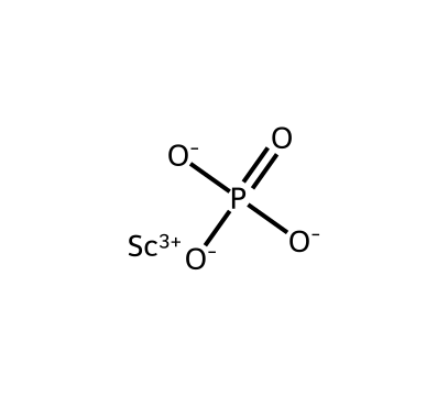 O=P([O-])([O-])[O-].[Sc+3]